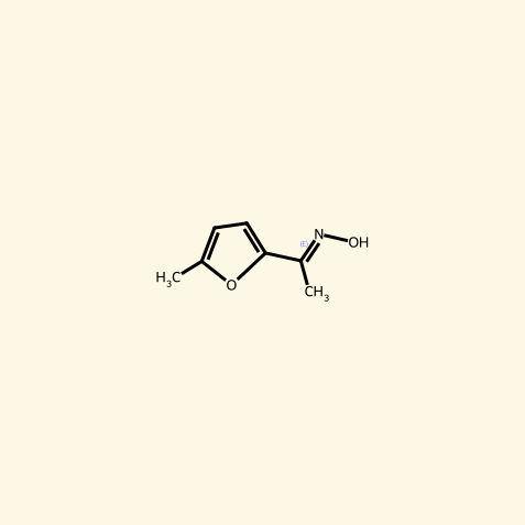 C/C(=N\O)c1ccc(C)o1